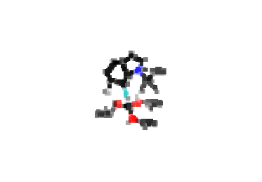 COOB(OOC)OOC.[Li][c]1ccc2ccn([Si](C)(C)C(C)(C)C)c2c1F